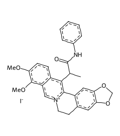 COc1ccc2c(C(C)C(=O)Nc3ccccc3)c3[n+](cc2c1OC)CCc1cc2c(cc1-3)OCO2.[I-]